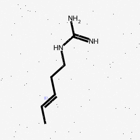 C/C=C/CCNC(=N)N